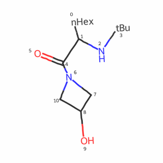 CCCCCCC(NC(C)(C)C)C(=O)N1CC(O)C1